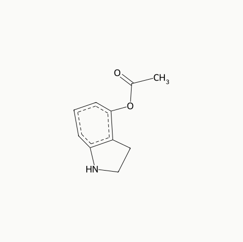 CC(=O)Oc1cccc2c1CCN2